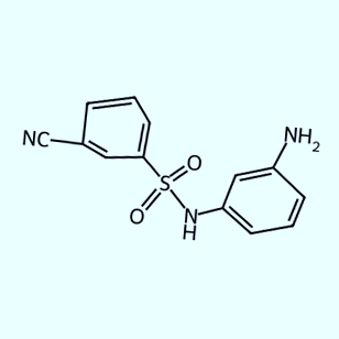 N#Cc1cccc(S(=O)(=O)Nc2cccc(N)c2)c1